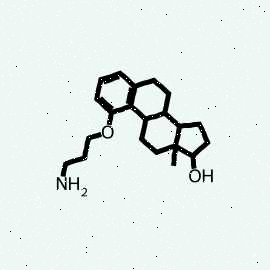 CC12CCC3c4c(cccc4OCCCN)CCC3C1CCC2O